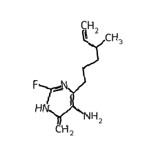 C=CC(C)CCCC1=C(N)C(=C)NC(F)=N1